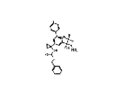 NCC(O)(c1cc(C2(NC(=O)OCc3ccccc3)CC2)cc(-c2ccc(F)cc2)n1)C(F)(F)F